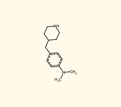 CN(C)c1ccc(CC2CCNCC2)cc1